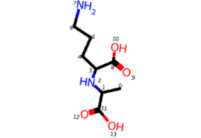 CC(NC(CCCN)C(=O)O)C(=O)O